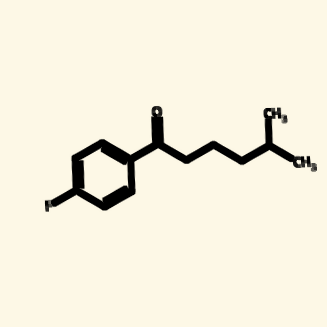 CC(C)CCCC(=O)c1ccc(F)cc1